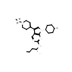 CCC[C@H](C)Nc1ncc2c(C3CCN(S(C)(=O)=O)CC3)cn([C@H]3CC[C@H](O)CC3)c2n1